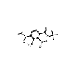 COC(=O)c1ccc(C(=O)OC(C)(C)C)c([N+](=O)[O-])c1N